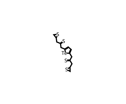 S=C(Cc1ccc(CC(=S)CC2CS2)[te]1)CC1CS1